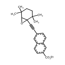 CCOC(=O)c1ccc2cc(C#CC34OC3C(C)(C)CCC4(C)C)ccc2c1